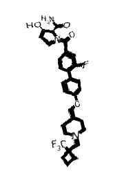 NC(=O)[C@@H]1[C@@H](O)CCN1C(=O)c1ccc(-c2ccc(OCC3CCN(CC4(C(F)(F)F)CCC4)CC3)cc2)c(F)c1